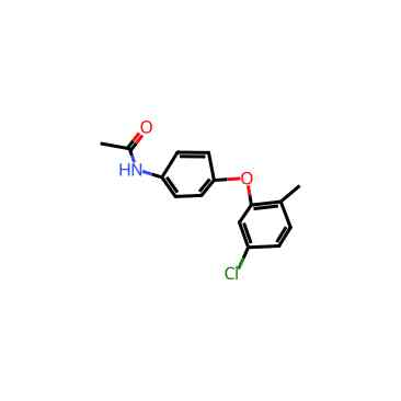 CC(=O)Nc1ccc(Oc2cc(Cl)ccc2C)cc1